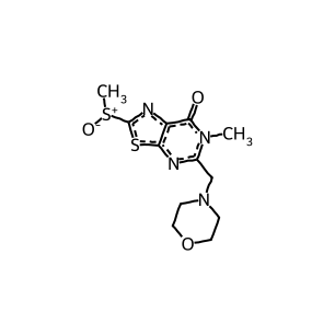 Cn1c(CN2CCOCC2)nc2sc([S+](C)[O-])nc2c1=O